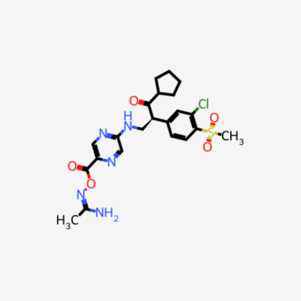 C/C(N)=N/OC(=O)c1cnc(NC[C@@H](C(=O)C2CCCC2)c2ccc(S(C)(=O)=O)c(Cl)c2)cn1